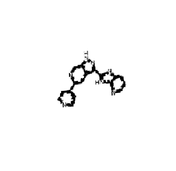 c1cnc2[nH]c(-c3n[nH]c4cnc(-c5ccncc5)cc34)nc2c1